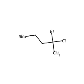 CCCCCCC(C)(Cl)CC